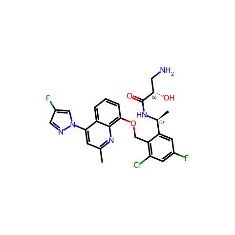 Cc1cc(-n2cc(F)cn2)c2cccc(OCc3c(Cl)cc(F)cc3[C@H](C)NC(=O)[C@@H](O)CN)c2n1